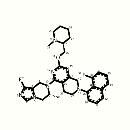 C[C@@H]1Cn2cnc(F)c2CN1c1nc(OC[C@@H]2CCCCN2C)nc2c1CCN(c1cccc3cccc(F)c13)C2